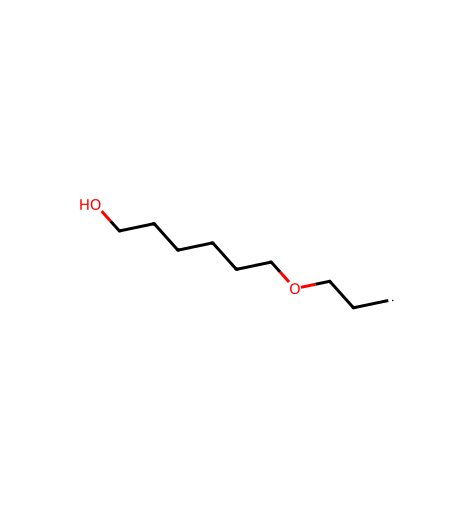 [CH2]CCOCCCCCCO